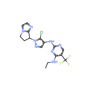 CCNc1nc(Nc2cnn(C3CCn4ccnc43)c2Cl)ncc1C(F)(F)F